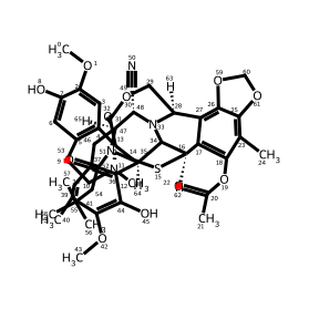 COc1cc2c(cc1O)CCN(C)[C@]21CS[C@@H]2c3c(OC(C)=O)c(C)c4c(c3[C@H](COC1=O)N1C2[C@H]2c3c(cc(C)c(OC)c3O)C[C@@H]([C@@H]1C#N)N2C(=O)CC(C)(C)C)OCO4